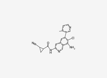 Cc1ccncc1-c1cc2cc(NC(=O)C3CC3C#N)ncc2c(N)c1Cl